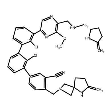 C=C1CC[C@@H](CNCc2ncc(-c3cccc(-c4cccc(-c5ccc(CN6CC7(CCC(=C)N7)C6)c(C#N)c5)c4Cl)c3Cl)nc2OC)N1